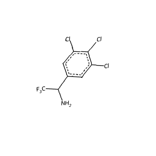 NC(c1cc(Cl)c(Cl)c(Cl)c1)C(F)(F)F